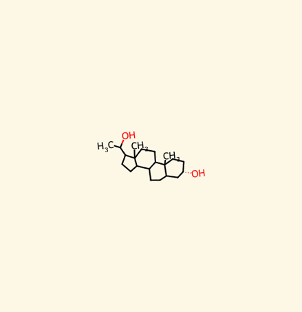 CC(O)C1CCC2C3CCC4C[C@@H](O)CCC4(C)C3CCC12C